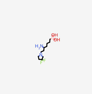 NC(CCCCB(O)O)CCN1CCC(F)(F)C1